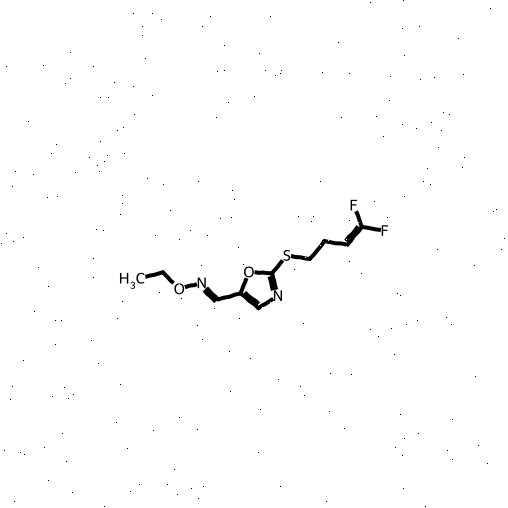 CCON=Cc1cnc(SCCC=C(F)F)o1